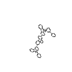 c1ccc(-c2cccc(-n3c4ccccc4c4cc(-c5ccc6c(c5)oc5cc(-c7ccc8c(c7)c7ccccc7n8-c7ccccc7)ccc56)ccc43)c2)cc1